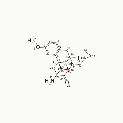 COc1ccc2c(c1)[C@]13CCN(CC4CC4)[C@H](C2)[C@]12CCC(N)(C3)C(=O)O2